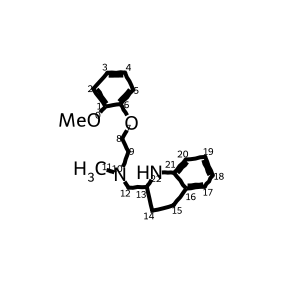 COc1ccccc1OCCN(C)CC1CCc2ccccc2N1